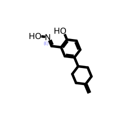 C=C1CCC(c2ccc(O)c(/C=N/O)c2)CC1